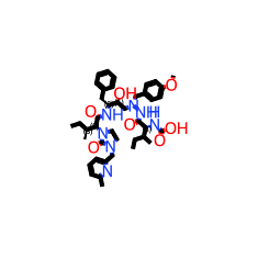 CCC(C)[C@H](NC(=O)O)C(=O)NN(Cc1ccc(OC)cc1)C[C@H](O)[C@H](Cc1ccccc1)NC(=O)[C@H]([C@@H](C)CC)N1CCN(Cc2cccc(C)n2)C1=O